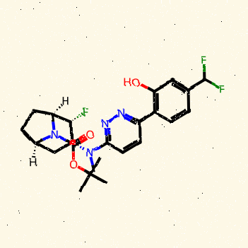 CN(c1ccc(-c2ccc(C(F)F)cc2O)nn1)[C@@H]1C[C@H]2CC[C@@H]([C@@H]1F)N2C(=O)OC(C)(C)C